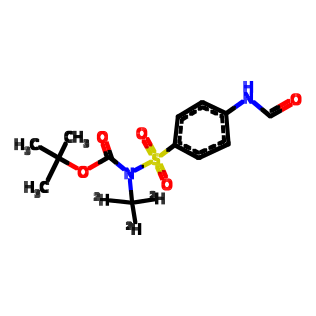 [2H]C([2H])([2H])N(C(=O)OC(C)(C)C)S(=O)(=O)c1ccc(NC=O)cc1